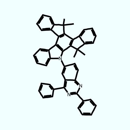 CC1(C)c2ccccc2-c2c1c1c(c3c2c2ccccc2n3-c2ccc3nc(-c4ccccc4)nc(-c4ccccc4)c3c2)C(C)(C)c2ccccc2-1